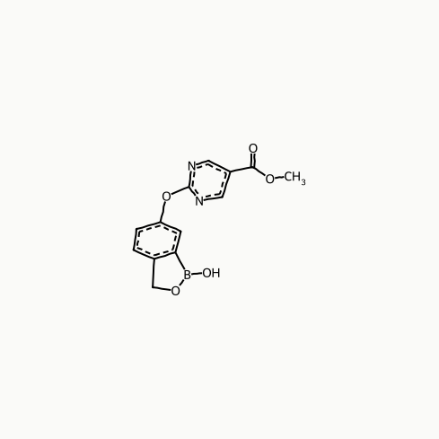 COC(=O)c1cnc(Oc2ccc3c(c2)B(O)OC3)nc1